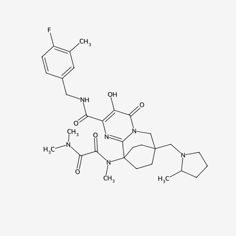 Cc1cc(CNC(=O)c2nc3n(c(=O)c2O)CC2(CN4CCCC4C)CCC3(N(C)C(=O)C(=O)N(C)C)CC2)ccc1F